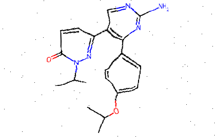 CC(C)Oc1ccc(-c2nc(N)ncc2-c2ccc(=O)n(C(C)C)n2)cc1